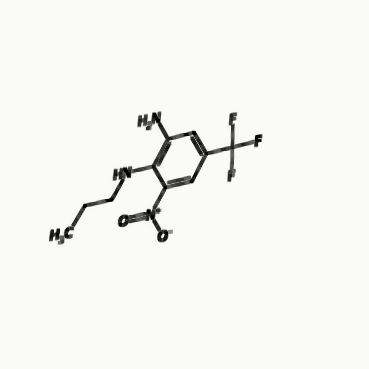 CCCNc1c(N)cc(C(F)(F)F)cc1[N+](=O)[O-]